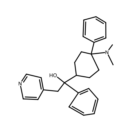 CN(C)C1(c2ccccc2)CCC(C(O)(Cc2ccncc2)c2ccccc2)CC1